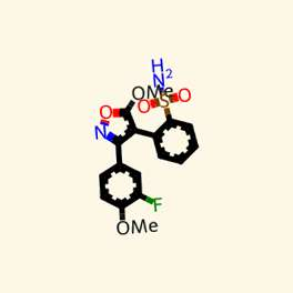 COc1ccc(-c2noc(OC)c2-c2ccccc2S(N)(=O)=O)cc1F